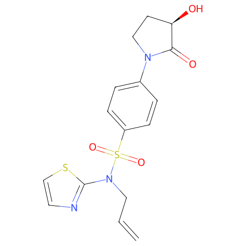 C=CCN(c1nccs1)S(=O)(=O)c1ccc(N2CC[C@@H](O)C2=O)cc1